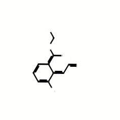 C=C/C=c1/c(Br)ccc/c1=C(/C)OCC